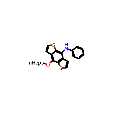 CCCCCCCOc1c2ccsc2c(Nc2ccccc2)c2ccsc12